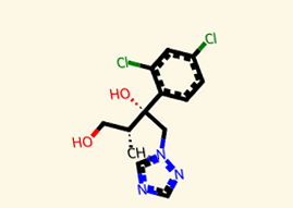 C[C@H](CO)[C@](O)(Cn1cncn1)c1ccc(Cl)cc1Cl